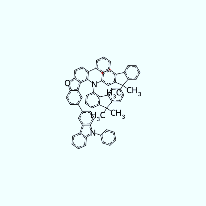 CC1(C)c2ccccc2-c2ccc(N(c3cccc4c3-c3ccccc3C4(C)C)c3c(-c4ccccc4)ccc4oc5ccc(-c6ccc7c(c6)c6ccccc6n7-c6ccccc6)cc5c34)cc21